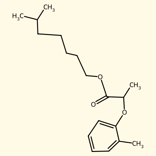 Cc1ccccc1OC(C)C(=O)OCCCCCC(C)C